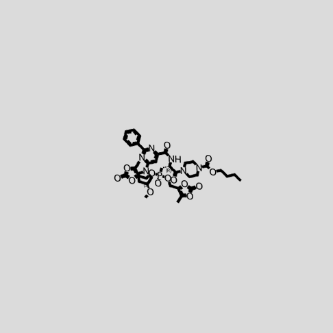 CCCCOC(=O)N1CCN(C(=O)[C@H](CP(=O)(OCc2oc(=O)oc2C)OCc2oc(=O)oc2C)NC(=O)c2cc(N3CC[C@H](OC)C3)nc(-c3ccccc3)n2)CC1